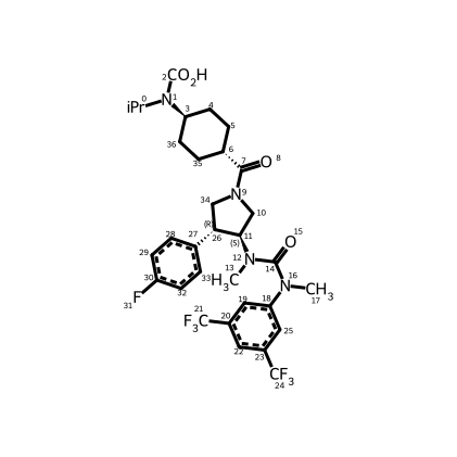 CC(C)N(C(=O)O)[C@H]1CC[C@H](C(=O)N2C[C@@H](N(C)C(=O)N(C)c3cc(C(F)(F)F)cc(C(F)(F)F)c3)[C@H](c3ccc(F)cc3)C2)CC1